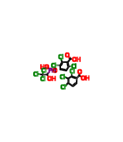 O=C(O)c1c(Cl)ccc(Cl)c1Cl.O=C(O)c1ccc(Cl)c(Cl)c1Cl.O=[PH](O)C(O)C(Cl)(Cl)Cl